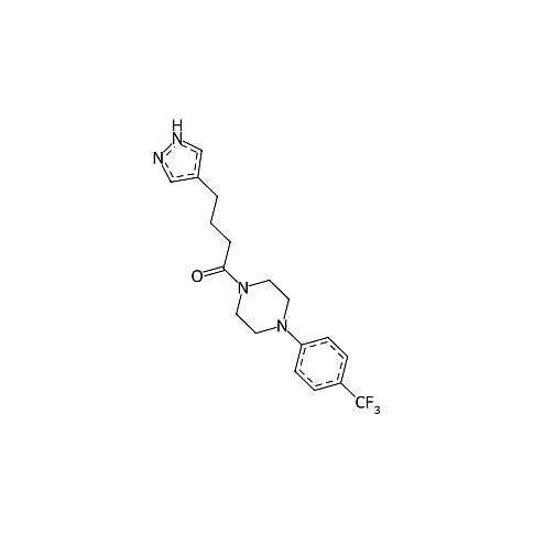 O=C(CCCc1cn[nH]c1)N1CCN(c2ccc(C(F)(F)F)cc2)CC1